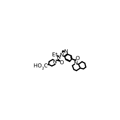 CCN(C(=O)N1CCC(C(=O)O)CC1)n1cnc2cc(C(=O)N3CCCC4CCCCC43)ccc21